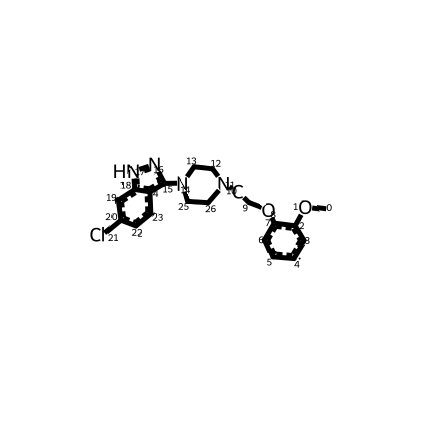 COc1c[c]ccc1OCCN1CCN(c2n[nH]c3cc(Cl)ccc23)CC1